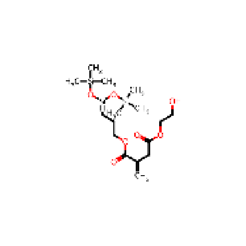 C=C(CC(=O)OCCO)C(=O)OCCC[SiH](O[Si](C)(C)C)O[Si](C)(C)C